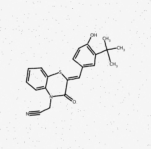 CC(C)(C)c1cc(C=C2Sc3ccccc3N(CC#N)C2=O)ccc1O